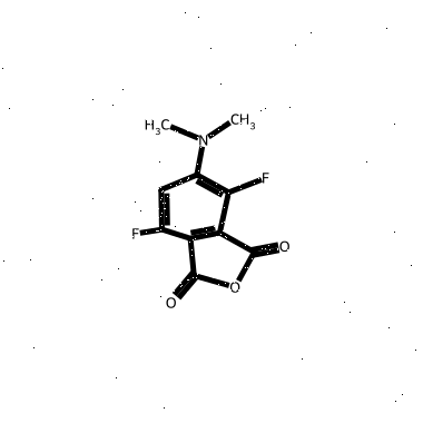 CN(C)c1cc(F)c2c(c1F)C(=O)OC2=O